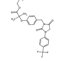 CCOC(=O)C(C)(C)Oc1ccc(CN2C(=O)CN(c3ccc(C(F)(F)F)cc3)C2=O)cc1